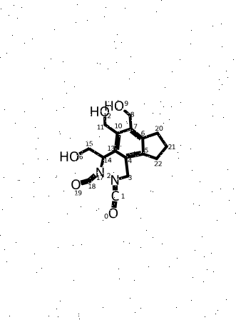 O=C=NCc1c2c(c(CO)c(CO)c1C(CO)N=C=O)CCC2